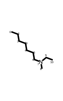 CCC[CH]CCCN(C)CC